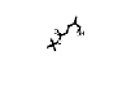 CC(CO)CCC(=O)OC(C)(C)C